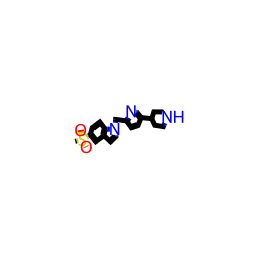 CS(=O)(=O)c1ccc2c(ccn2Cc2ccc(C3CCNCC3)cn2)c1